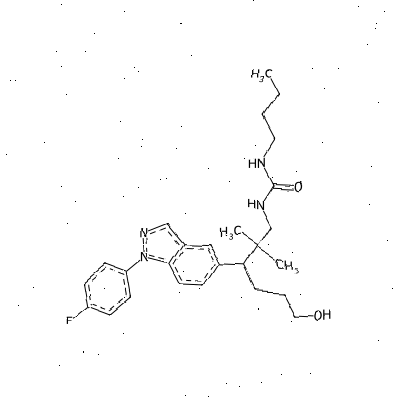 CCCCNC(=O)NCC(C)(C)C(CCCO)c1ccc2c(cnn2-c2ccc(F)cc2)c1